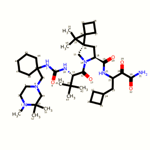 CN1CCN(CC2(NC(=O)N[C@H](C(=O)N3C[C@]4(C[C@H]3C(=O)NC(CC3CCC3)C(=O)C(N)=O)C(C)(C)C43CCC3)C(C)(C)C)CCCCC2)CC1(C)C